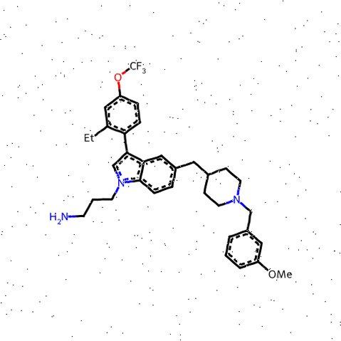 CCc1cc(OC(F)(F)F)ccc1-c1cn(CCCN)c2ccc(CC3CCN(Cc4cccc(OC)c4)CC3)cc12